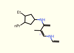 C=CN/C=C(/C)C(=C)NC1CC(CC)C(CCC)C1